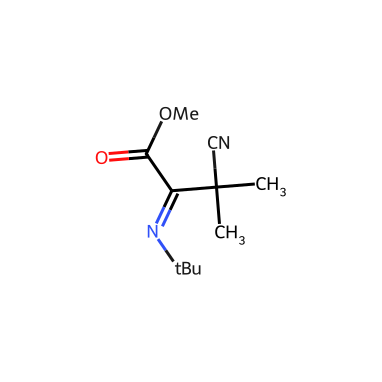 COC(=O)/C(=N/C(C)(C)C)C(C)(C)C#N